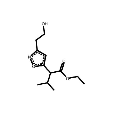 CCOC(=O)C(c1cc(CCO)no1)C(C)C